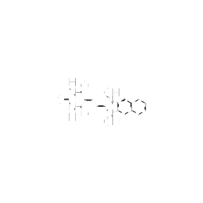 CN1C(=CC=C2C(=O)NC(=S)NC2=O)N(C)c2cc3ccccc3cc21